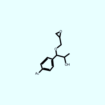 CC(=O)c1ccc(C(OCC2CO2)C(C)O)cc1